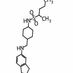 CCCC(C)S(=O)(=O)NC1CCC(CNc2ccc3c(c2)CCC3)CC1